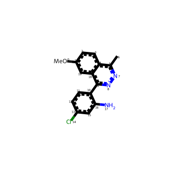 COc1ccc2c(C)nnc(-c3ccc(Cl)cc3N)c2c1